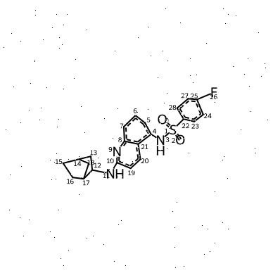 O=S(=O)(Nc1cccc2nc(NC3CC4CCC3C4)ccc12)c1ccc(F)cc1